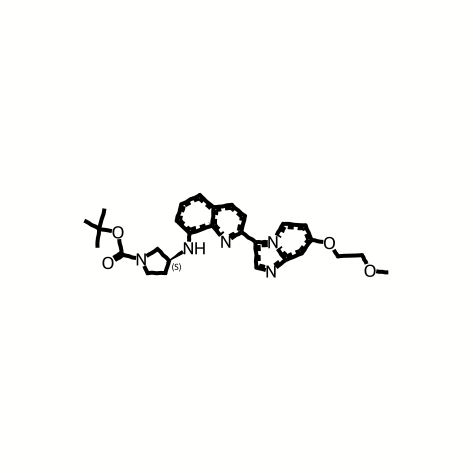 COCCOc1ccn2c(-c3ccc4cccc(N[C@H]5CCN(C(=O)OC(C)(C)C)C5)c4n3)cnc2c1